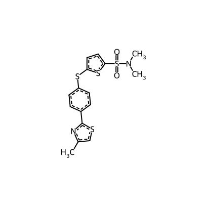 Cc1csc(-c2ccc(Sc3ccc(S(=O)(=O)N(C)C)s3)cc2)n1